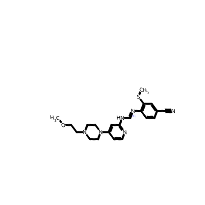 COCCN1CCN(c2ccnc(N/C=N/c3ccc(C#N)cc3SC)c2)CC1